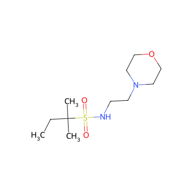 CCC(C)(C)S(=O)(=O)NCCN1CCOCC1